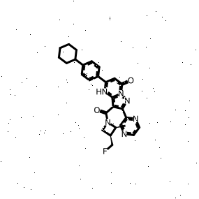 C[C@H]1[C@@H](CF)CN1C(=O)c1c(-c2cnccn2)nn2c(=O)cc(-c3ccc(C4CCCCC4)cc3)[nH]c12